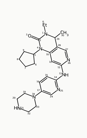 CCN1C(=O)N(C2CCCC2)c2cc(Nc3ccc(N4CCNCC4)cn3)ncc2C1C